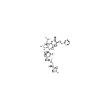 CC[C@H](C)C(NC(=O)[C@H](CC(C)C)NC(=O)OCc1ccccc1)C(=O)C(=O)N[C@H](CCCNC(N)=O)C(N)=O